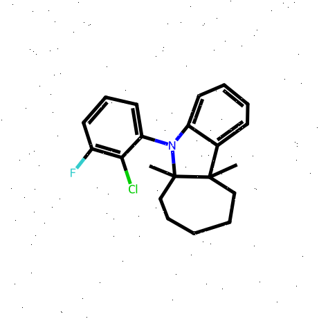 CC12CCCCCC1(C)N(c1cccc(F)c1Cl)c1ccccc12